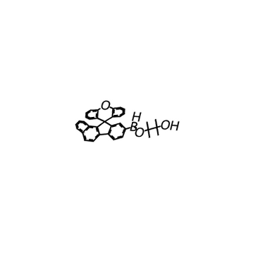 CC(C)(O)C(C)(C)OBc1ccc2c(c1)C1(c3ccccc3Oc3ccccc31)c1c-2ccc2ccccc12